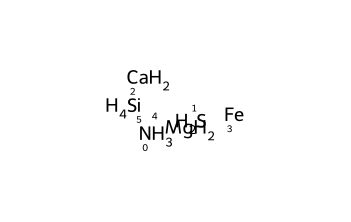 N.S.[CaH2].[Fe].[MgH2].[SiH4]